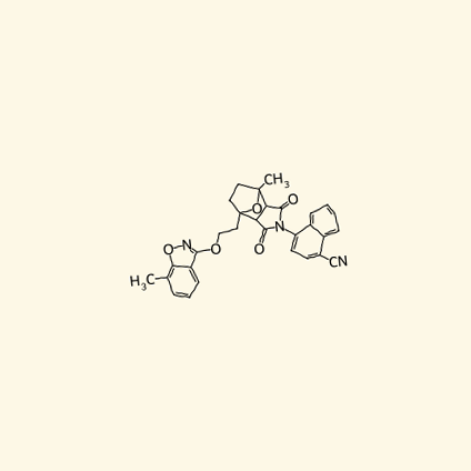 Cc1cccc2c(OCCC34CCC(C)(O3)C3C(=O)N(c5ccc(C#N)c6ccccc56)C(=O)C34)noc12